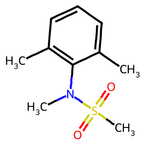 Cc1cccc(C)c1N(C)S(C)(=O)=O